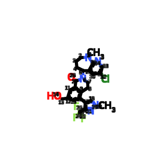 CN1CCC[C@H](N2CCc3c(cc(CO)cc3-c3cn(C)nc3C(F)(F)F)C2=O)c2cc(Cl)cnc21